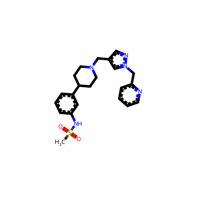 CS(=O)(=O)Nc1cccc(C2CCN(Cc3cnn(Cc4ccccn4)c3)CC2)c1